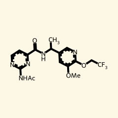 COc1cc(C(C)NC(=O)c2ccnc(NC(C)=O)n2)cnc1OCC(F)(F)F